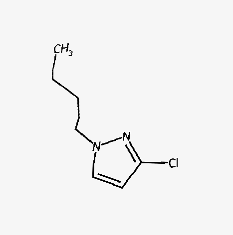 CCCCn1ccc(Cl)n1